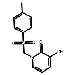 Cc1ccc(S(=O)(=O)Cn2cccc(O)c2=O)cc1